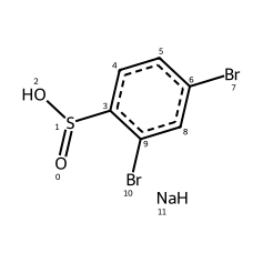 O=S(O)c1ccc(Br)cc1Br.[NaH]